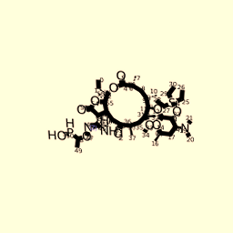 CC[C@@H]1OC(=O)[C@H](C)C[C@H](C)[C@@H](OC2O[C@H](C)C[C@H](N(C)C)[C@H]2O[Si](CC)(CC)CC)[C@](C)(OC)C[C@@H](C)C(=O)[C@H](C)[C@H]2[C@H](/C(N)=N/OC(C)PO)C(=O)O[C@]21C